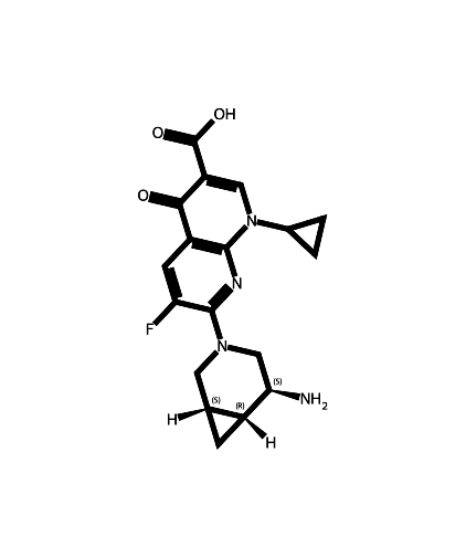 N[C@@H]1CN(c2nc3c(cc2F)c(=O)c(C(=O)O)cn3C2CC2)C[C@H]2C[C@H]21